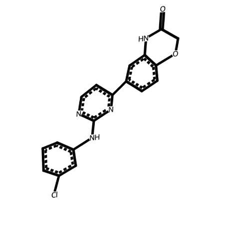 O=C1COc2ccc(-c3ccnc(Nc4cccc(Cl)c4)n3)cc2N1